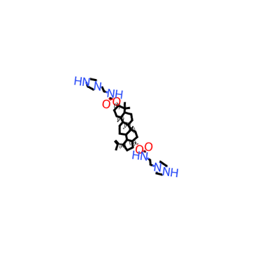 C=C(C)[C@@H]1CC[C@]2(COC(=O)NCCN3CCNCC3)CC[C@]3(C)C(CCC4[C@@]5(C)CC[C@H](OC(=O)NCCN6CCNCC6)C(C)(C)C5CC[C@]43C)C12